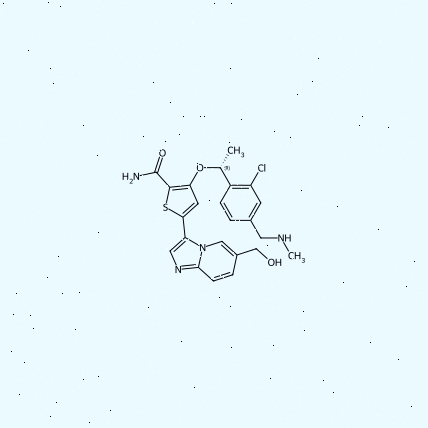 CNCc1ccc([C@@H](C)Oc2cc(-c3cnc4ccc(CO)cn34)sc2C(N)=O)c(Cl)c1